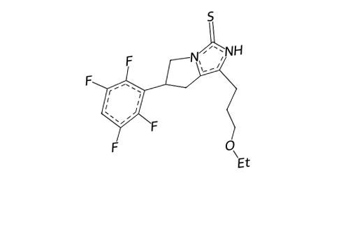 CCOCCCc1[nH]c(=S)n2c1CC(c1c(F)c(F)cc(F)c1F)C2